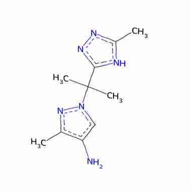 Cc1nnc(C(C)(C)n2cc(N)c(C)n2)[nH]1